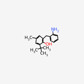 Cc1cc(Cc2ccccc2N)c(O)c(C(C)(C)C)c1